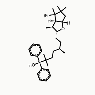 CC(C)[C@]1(C)[C@H]2[C@H](C)[C@@H](CC[C@@H](C)CCC(C)(C)[Si](O)(c3ccccc3)c3ccccc3)O[C@H]2CC1(C)C